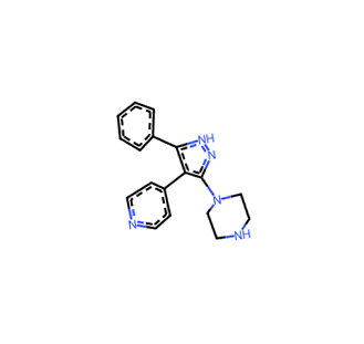 c1ccc(-c2[nH]nc(N3CCNCC3)c2-c2ccncc2)cc1